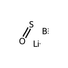 O=S.[B].[Li]